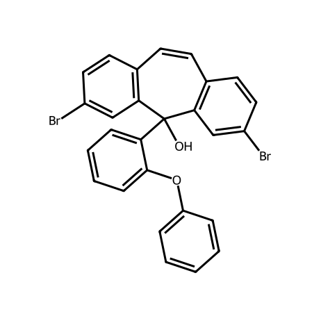 OC1(c2ccccc2Oc2ccccc2)c2cc(Br)ccc2C=Cc2ccc(Br)cc21